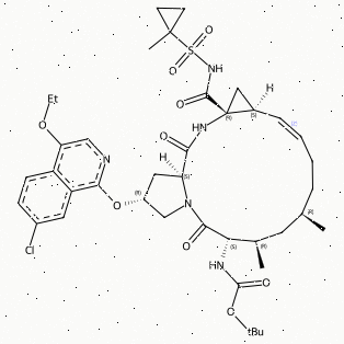 CCOc1cnc(O[C@@H]2C[C@H]3C(=O)N[C@]4(C(=O)NS(=O)(=O)C5(C)CC5)C[C@H]4/C=C\CC[C@@H](C)C[C@@H](C)[C@H](NC(=O)OC(C)(C)C)C(=O)N3C2)c2cc(Cl)ccc12